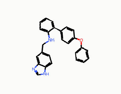 c1ccc(Oc2ccc(-c3ccccc3NCc3ccc4[nH]cnc4c3)cc2)cc1